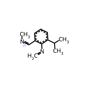 C=Nc1c(/C=N\C)cccc1C(C)C